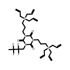 C=CCS(CC=C)(CC=C)CCCn1c(=O)n(CCCS(CC=C)(CC=C)CC=C)c(=O)n(CC(F)(F)C(C)(F)F)c1=O